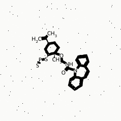 C=C(C)[C@H]1CC[C@@](C)(OCNC(=O)N2c3ccccc3C=Cc3ccccc32)[C@H](SP=S)C1